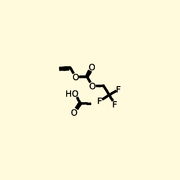 C=COC(=O)OCC(F)(F)F.CC(=O)O